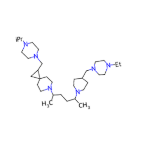 CCN1CCN(CC2CCN(C(C)CCC(C)N3CCC4(CC3)CC4CN3CCN(C(C)C)CC3)CC2)CC1